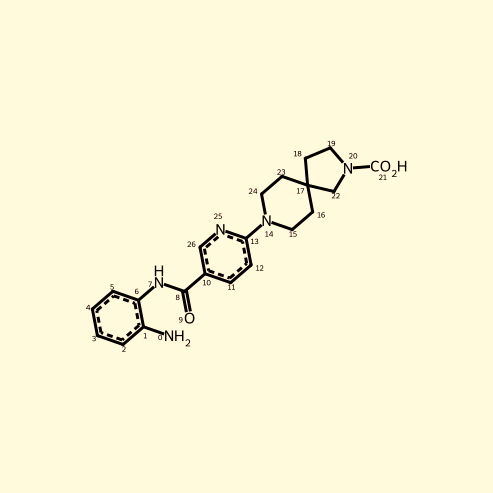 Nc1ccccc1NC(=O)c1ccc(N2CCC3(CCN(C(=O)O)C3)CC2)nc1